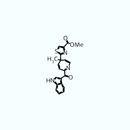 COC(=O)c1csc(C2(C)C=CN=C(C(=O)c3c[nH]c4ccccc34)C=C2)n1